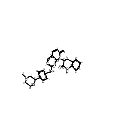 C=C1C=Cc2cnc(Nc3ccc(C4CN(C)CCS4)cc3)nc2N1C1Cc2ccccc2NC1=O